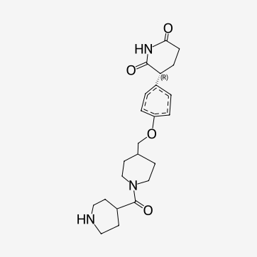 O=C1CC[C@H](c2ccc(OCC3CCN(C(=O)C4CCNCC4)CC3)cc2)C(=O)N1